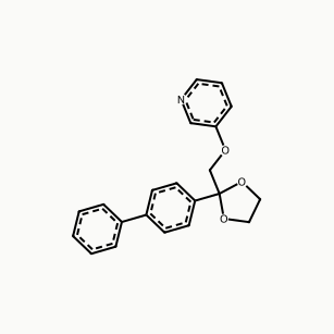 c1ccc(-c2ccc(C3(COc4cccnc4)OCCO3)cc2)cc1